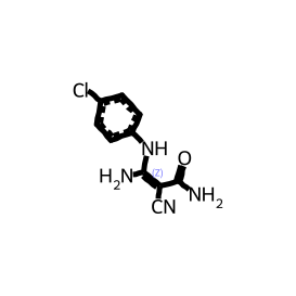 N#C/C(C(N)=O)=C(\N)Nc1ccc(Cl)cc1